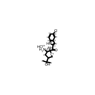 CC(C)(O)C1CCC(N)(C(=O)c2cc3cc(Cl)ccc3[nH]2)C(N)C1.Cl